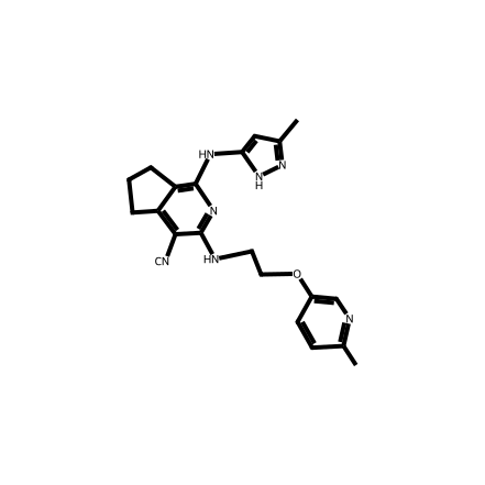 [C-]#[N+]c1c(NCCOc2ccc(C)nc2)nc(Nc2cc(C)n[nH]2)c2c1CCC2